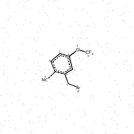 N#Cc1ccc(OC(F)(F)F)cc1CBr